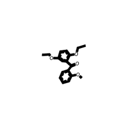 CCOc1ccc(OCC)c(C(=O)c2ccccc2OC)c1